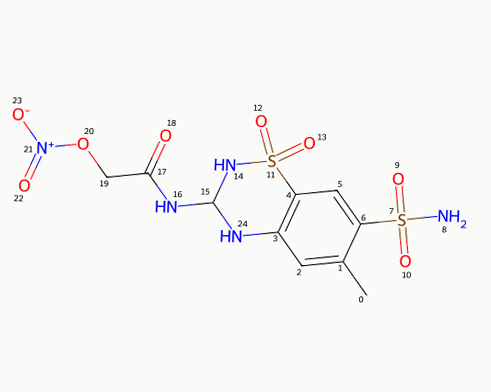 Cc1cc2c(cc1S(N)(=O)=O)S(=O)(=O)NC(NC(=O)CO[N+](=O)[O-])N2